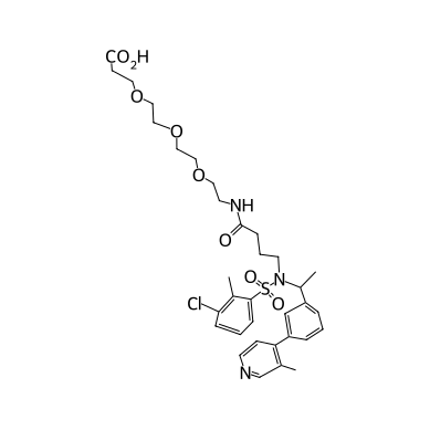 Cc1cnccc1-c1cccc(C(C)N(CCCC(=O)NCCOCCOCCOCCC(=O)O)S(=O)(=O)c2cccc(Cl)c2C)c1